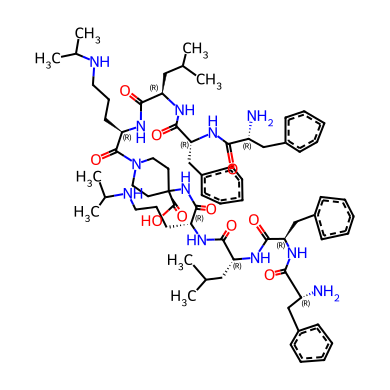 CC(C)C[C@@H](NC(=O)[C@@H](Cc1ccccc1)NC(=O)[C@H](N)Cc1ccccc1)C(=O)N[C@H](CCCNC(C)C)C(=O)NC1(C(=O)O)CCN(C(=O)[C@@H](CCCNC(C)C)NC(=O)[C@@H](CC(C)C)NC(=O)[C@@H](Cc2ccccc2)NC(=O)[C@H](N)Cc2ccccc2)CC1